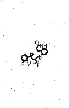 COc1c(F)cccc1C1(CC(C/N=C2/C=CC=C3NC(=O)CC=C32)C(F)(F)F)CC1